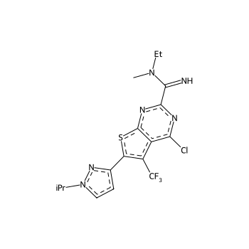 CCN(C)C(=N)c1nc(Cl)c2c(C(F)(F)F)c(-c3ccn(C(C)C)n3)sc2n1